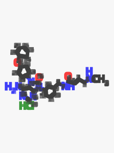 CNC/C=C/C(=O)NCc1cccc(-n2c(=O)n(-c3ccc(Oc4ccccc4)cc3)c3c(N)ncnc32)c1.Cl